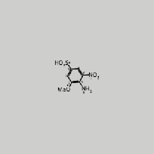 COc1cc(S(=O)(=O)O)cc([N+](=O)[O-])c1N